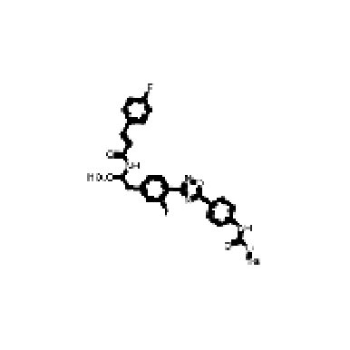 CC(C)(C)OC(=O)Nc1ccc(-c2nc(-c3ccc(CC(NC(=O)/C=C/c4ccc(F)cc4)C(=O)O)cc3F)no2)cc1